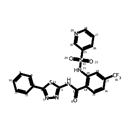 O=C(Nc1nnc(-c2ccccc2)s1)c1ccc(C(F)(F)F)cc1NS(=O)(=O)c1cccnc1